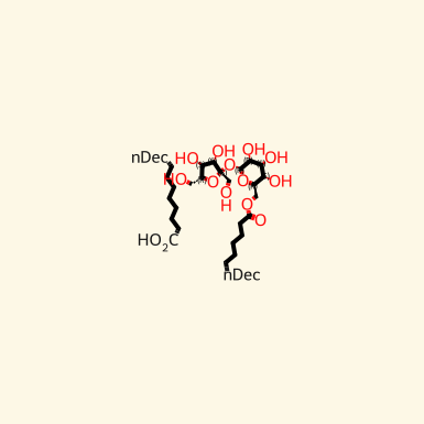 CCCCCCCCCCCCCCCC(=O)OC[C@H]1O[C@H](O[C@]2(CO)O[C@H](CO)[C@@H](O)[C@@H]2O)[C@H](O)[C@@H](O)[C@@H]1O.CCCCCCCCCCCCCCCCCC(=O)O